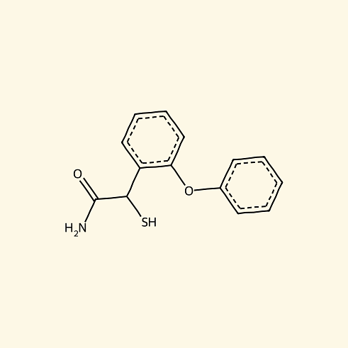 NC(=O)C(S)c1ccccc1Oc1ccccc1